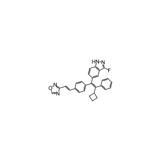 Fc1n[nH]c2ccc(C(=C(c3ccccc3)C3CCC3)c3ccc(C=Cc4ncon4)cc3)cc12